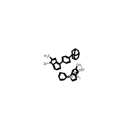 CC1=C2c3ccn(-c4ccccc4)c3C1[Si]2(C)C.CC1=Cc2c(-c3ccc(C45CC6CC(CC(C6)C4)C5)cc3)cccc2[CH]1[Zr+2].[Cl-].[Cl-]